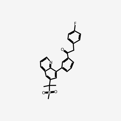 CC(C)(c1cc(-c2cccc(C(=O)Cc3ccc(F)cc3)c2)c2ncccc2c1)S(C)(=O)=O